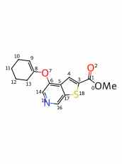 COC(=O)c1cc2c(OC3=CCCCC3)cncc2s1